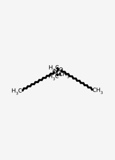 CCCCCCCCCCCCCCCCCCOC(C)C(OCCCCCCCCCCCCCCCCCC)[As](C)C